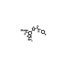 CC(C)(C)NC(=O)c1cc(-c2csc(C(=O)NCc3ccc(F)cc3)c2)cn2nc(N)nc12